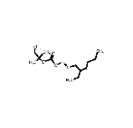 CCCCC(CC)COOOC(=O)OC(C)(C)CC